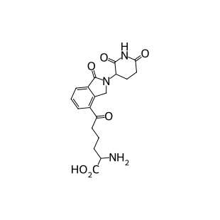 NC(CCCC(=O)c1cccc2c1CN(C1CCC(=O)NC1=O)C2=O)C(=O)O